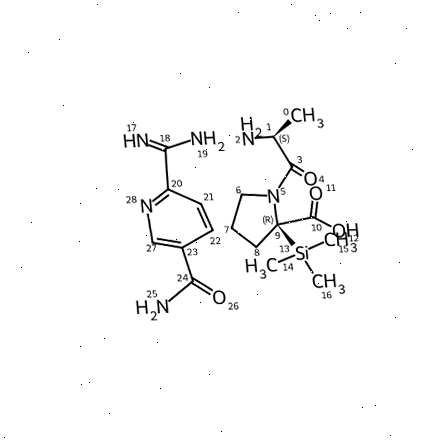 C[C@H](N)C(=O)N1CCC[C@]1(C(=O)O)[Si](C)(C)C.N=C(N)c1ccc(C(N)=O)cn1